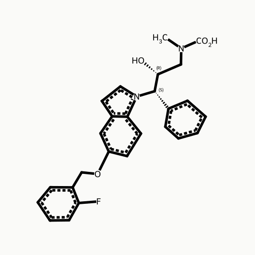 CN(C[C@@H](O)[C@H](c1ccccc1)n1ccc2cc(OCc3ccccc3F)ccc21)C(=O)O